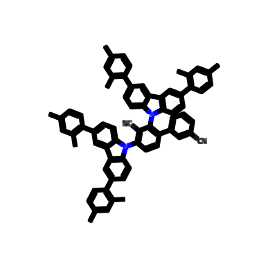 Cc1ccc(-c2ccc3c(c2)c2cc(-c4ccc(C)cc4C)ccc2n3-c2ccc(-c3cccc(C#N)c3)c(-n3c4ccc(-c5ccc(C)cc5C)cc4c4cc(-c5ccc(C)cc5C)ccc43)c2C#N)c(C)c1